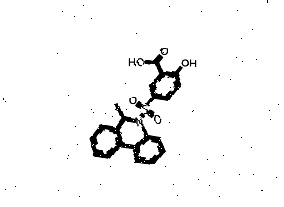 CC1c2ccccc2-c2ccccc2N1S(=O)(=O)c1ccc(O)c(C(=O)O)c1